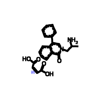 CC(N)Cn1cc(-c2ccccc2)c2ccccc2c1=O.O=C(O)/C=C\C(=O)O